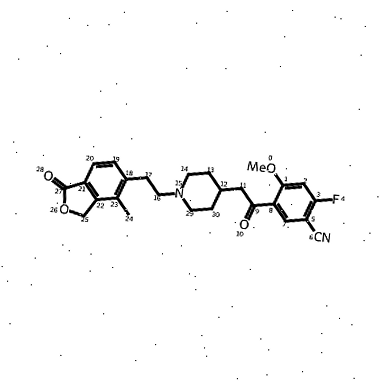 COc1cc(F)c(C#N)cc1C(=O)CC1CCN(CCc2ccc3c(c2C)COC3=O)CC1